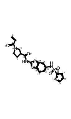 C=CC(=O)N1CCC(C(=O)Nc2nc3ccc(NS(=O)(=O)c4cccs4)cc3s2)C1